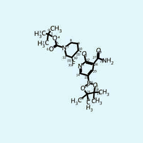 CC(C)(C)OC(=O)N1CC[C@H](Oc2ncc(B3OC(C)(C)C(C)(C)O3)cc2C(N)=O)[C@@H](F)C1